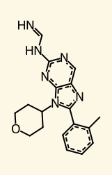 Cc1ccccc1-c1nc2cnc(NC=N)nc2n1C1CCOCC1